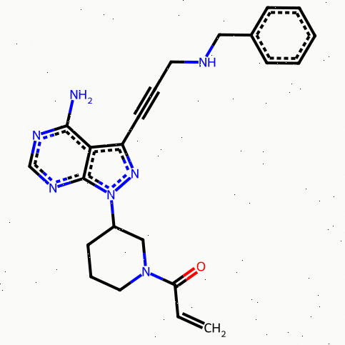 C=CC(=O)N1CCCC(n2nc(C#CCNCc3ccccc3)c3c(N)ncnc32)C1